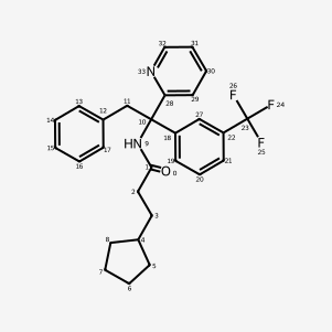 O=C(CCC1CCCC1)NC(Cc1ccccc1)(c1cccc(C(F)(F)F)c1)c1ccccn1